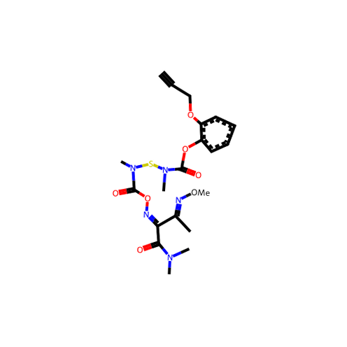 C#CCOc1ccccc1OC(=O)N(C)SN(C)C(=O)ON=C(C(=O)N(C)C)C(C)=NOC